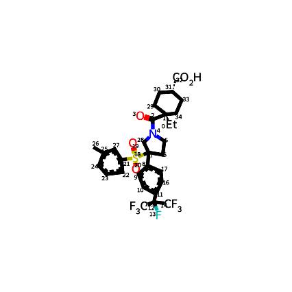 CC[C@]1(C(=O)N2CCC(c3ccc(C(F)(C(F)(F)F)C(F)(F)F)cc3)(S(=O)(=O)c3cccc(C)c3)C2)CC[C@H](C(=O)O)CC1